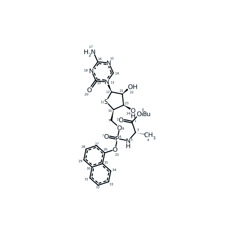 CC(C)COC(=O)[C@H](C)NP(=O)(OC[C@H]1S[C@@H](n2cnc(N)nc2=O)[C@@H](O)[C@H]1O)Oc1cccc2ccccc12